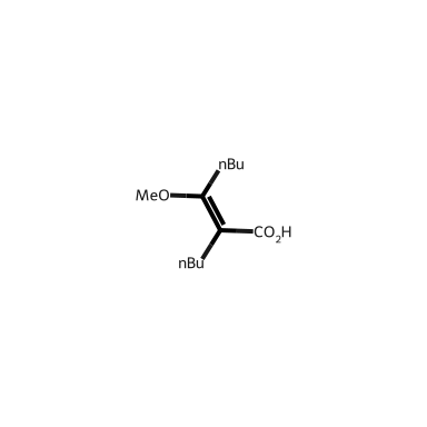 CCCCC(OC)=C(CCCC)C(=O)O